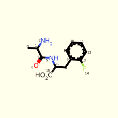 CC(N)C(=O)NC(Cc1ccccc1F)C(=O)O